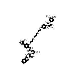 Cc1ncsc1-c1ccc(NC(=O)[C@@H]2C[C@@H](O)CN2C(=O)C(C(C)C)N2Cc3ccccc3C2=O)c(OCCCOCCCOCCOc2ccc(N3C(=O)N(c4ccc(C#N)c(C(F)(F)F)c4)C(=O)C3(C)C)cc2)c1